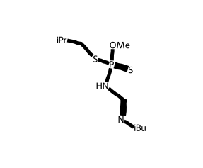 CCC(C)N=CNP(=S)(OC)SCC(C)C